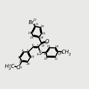 COc1ccc(C=C(Sc2ccc(C)cc2)C(=O)c2ccc(Br)cc2)cc1